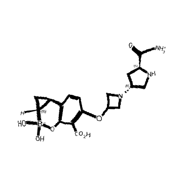 [NH3+]C(=O)[C@@H]1C[C@@H](N2CC(Oc3ccc4c(c3C(=O)O)O[B-](O)(O)[C@@H]3CC43)C2)CN1